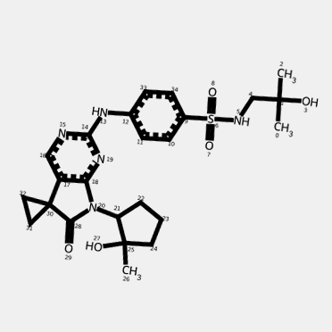 CC(C)(O)CNS(=O)(=O)c1ccc(Nc2ncc3c(n2)N(C2CCCC2(C)O)C(=O)C32CC2)cc1